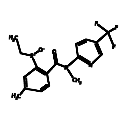 CC[S+]([O-])c1cc(C)ccc1C(=O)N(C)c1ccc(C(F)(F)F)cn1